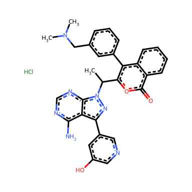 CC(c1oc(=O)c2ccccc2c1-c1cccc(CN(C)C)c1)n1nc(-c2cncc(O)c2)c2c(N)ncnc21.Cl